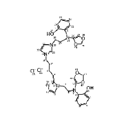 Oc1ccccc1N(CCN1C=C[N+]=C1CCCC[n+]1ccn(CCN(C2=COCO2)c2ccccc2O)c1)C1=COCO1.[Cl-].[Cl-]